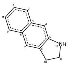 c1ccc2cc3c(cc2c1)CCN3